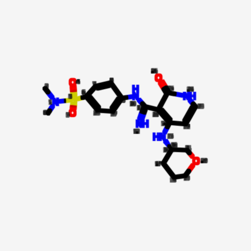 CN(C)S(=O)(=O)c1ccc(NC(=N)c2c(N[C@@H]3CCCOC3)cc[nH]c2=O)cc1